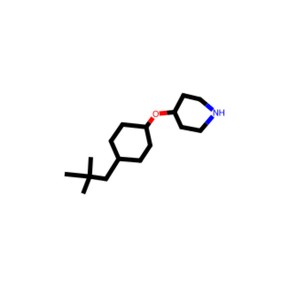 CC(C)(C)CC1CCC(OC2CCNCC2)CC1